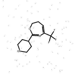 FC(F)(F)C1=CCCOC(C2CCNCC2)=N1